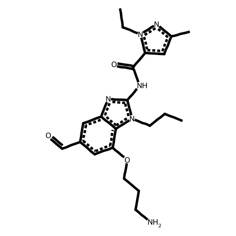 CCCn1c(NC(=O)c2cc(C)nn2CC)nc2cc(C=O)cc(OCCCN)c21